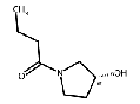 CCCC(=O)N1CC[C@@H](O)C1